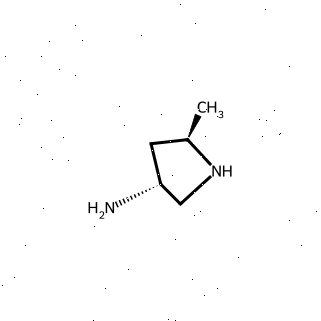 C[C@@H]1C[C@@H](N)CN1